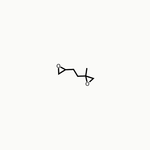 CC1(CCC2CO2)CO1